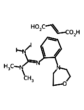 CN(C)C(=Nc1ccccc1N1CCOCC1)N(I)I.O=C(O)C=CC(=O)O